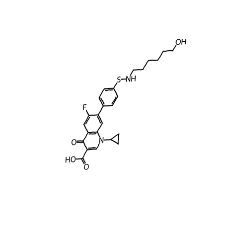 O=C(O)c1cn(C2CC2)c2cc(-c3ccc(SNCCCCCCO)cc3)c(F)cc2c1=O